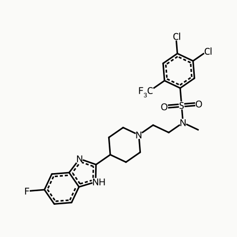 CN(CCN1CCC(c2nc3cc(F)ccc3[nH]2)CC1)S(=O)(=O)c1cc(Cl)c(Cl)cc1C(F)(F)F